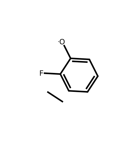 CC.[O]c1ccccc1F